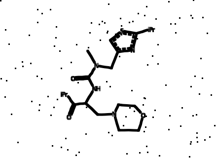 CC(C)C(=O)C(CN1CCOCC1)NC(=O)N(C)Cc1csc(C(C)C)n1